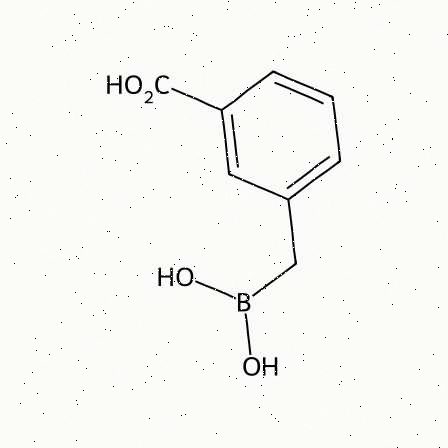 O=C(O)c1cccc(CB(O)O)c1